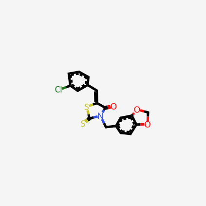 O=C1C(=Cc2cccc(Cl)c2)SC(=S)N1Cc1ccc2c(c1)OCO2